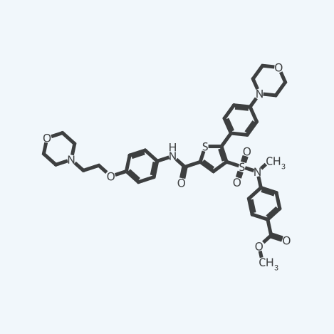 COC(=O)c1ccc(N(C)S(=O)(=O)c2cc(C(=O)Nc3ccc(OCCN4CCOCC4)cc3)sc2-c2ccc(N3CCOCC3)cc2)cc1